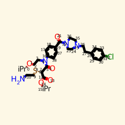 CC(C)OCCN(C(=O)[C@@H](SCCN)C(=O)OC(C)C)c1ccc(C(=O)N2CCN(CCc3ccc(Cl)cc3)CC2)cc1